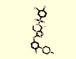 CCn1c(Oc2ccc(F)c(N3CCN(C)CC3)c2)nnc1[C@@H](C)NS(=O)(=O)c1ccc(Cl)c(Cl)c1